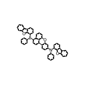 c1ccc(B(c2ccc3c4c(cccc24)Oc2cc(N(c4ccccc4)c4cccc5c4oc4ccccc45)ccc2-3)c2cccc3c2oc2ccccc23)cc1